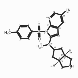 Cc1ccc(S(=O)(=O)n2c(N(C)C3C[C@H]4CNC[C@H]4C3)cc3cc(C#N)cnc32)cc1